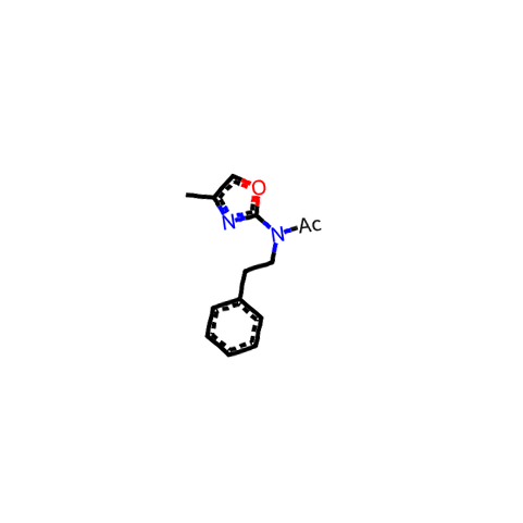 CC(=O)N(CCc1ccccc1)c1nc(C)co1